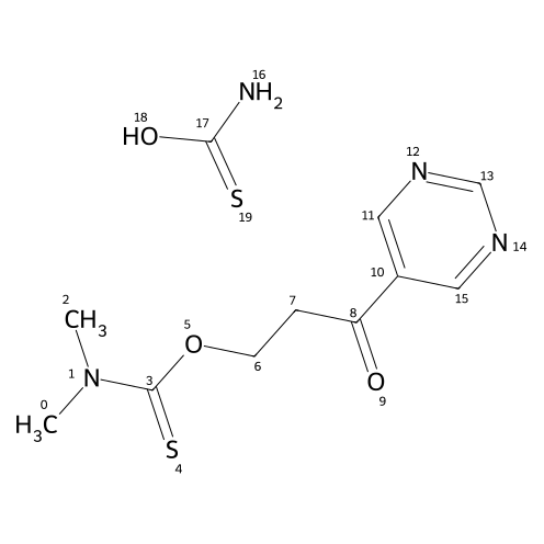 CN(C)C(=S)OCCC(=O)c1cncnc1.NC(O)=S